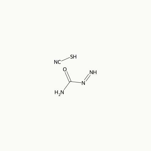 N#CS.N=NC(N)=O